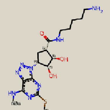 CCCCNc1nc(SCCC)nc2c1nnn2[C@@H]1C[C@H](C(=O)NCCCCCN)[C@@H](O)[C@H]1O